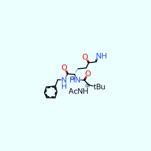 CC(=O)N[C@H](C(=O)N[C@@H](CCC(=O)C=N)C(=O)NCc1ccccc1)C(C)(C)C